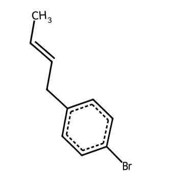 CC=CCc1ccc(Br)cc1